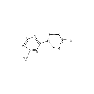 CC[CH]c1ccnc(N2CCN(C)CC2)c1